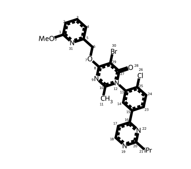 COc1cccc(COc2nc(C)n(-c3cc(-c4ccnc(C(C)C)n4)ccc3Cl)c(=O)c2Br)n1